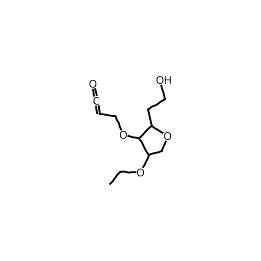 CCOC1COC(CCO)C1OCC=C=O